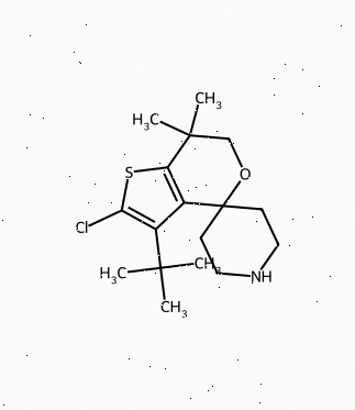 CC(C)(C)c1c(Cl)sc2c1C1(CCNCC1)OCC2(C)C